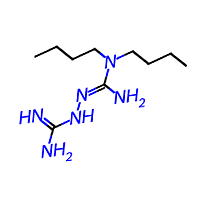 CCCCN(CCCC)C(N)=NNC(=N)N